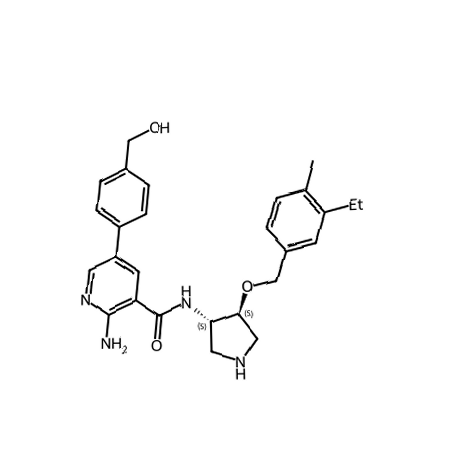 CCc1cc(CO[C@H]2CNC[C@@H]2NC(=O)c2cc(-c3ccc(CO)cc3)cnc2N)ccc1C